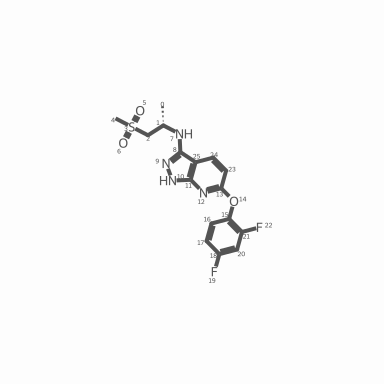 C[C@@H](CS(C)(=O)=O)Nc1n[nH]c2nc(Oc3ccc(F)cc3F)ccc12